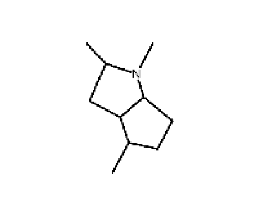 CC1CCC2C1CC(C)N2C